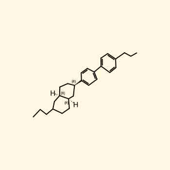 CCCc1ccc(-c2ccc([C@@H]3CC[C@@H]4CC(CCC)CC[C@@H]4C3)cc2)cc1